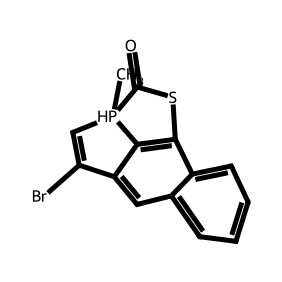 C[PH]12C=C(Br)c3cc4ccccc4c(c31)SC2=O